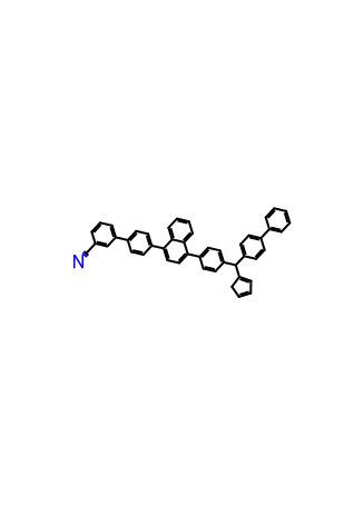 N#Cc1cccc(-c2ccc(-c3ccc(-c4ccc(C(C5=CC=CC5)c5ccc(-c6ccccc6)cc5)cc4)c4ccccc34)cc2)c1